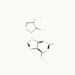 CNc1nc(Cl)nc2c1ncn2[C@@H]1SCC(O)C1O